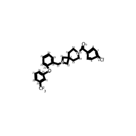 O=C(c1ccc(Cl)cc1)N1CCC2(CC1)CN(Cc1ccccc1Oc1cccc(C(F)(F)F)c1)C2